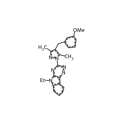 CCn1c2ccccc2c2nnc(-n3nc(C)c(Cc4cccc(OC)c4)c3C)nc21